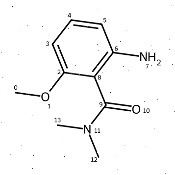 COc1cccc(N)c1C(=O)N(C)C